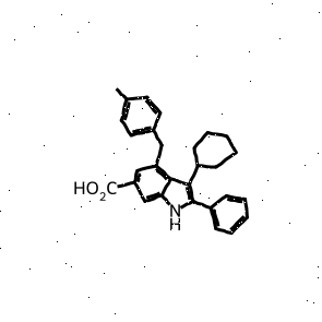 Cc1ccc(Cc2cc(C(=O)O)cc3[nH]c(-c4ccccc4)c(C4CCCCC4)c23)cc1